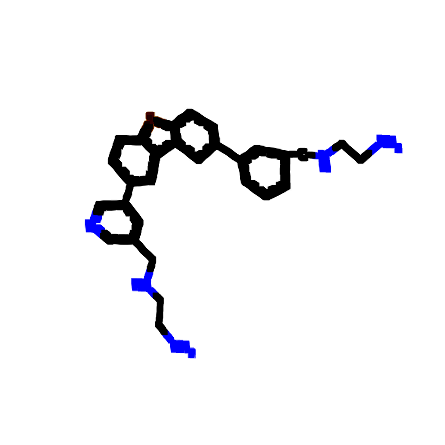 NCCNCc1cccc(-c2ccc3sc4ccc(-c5cncc(CNCCN)c5)cc4c3c2)c1